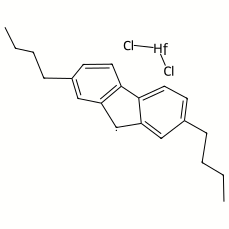 CCCCc1ccc2c(c1)[CH]c1cc(CCCC)ccc1-2.[Cl][Hf][Cl]